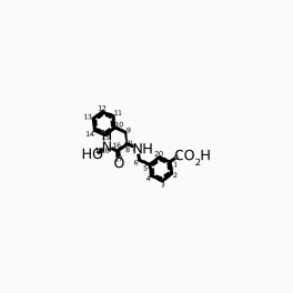 O=C(O)c1cccc(CN[C@H](Cc2ccccc2)C(=O)NO)c1